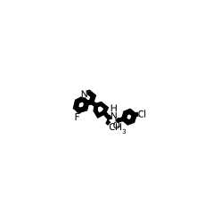 CC[C@H](NC(=O)c1ccc(Cl)cc1)C1CCC(c2ccnc3ccc(F)cc23)CC1